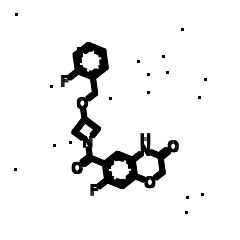 O=C1COc2cc(F)c(C(=O)N3CC(OCc4ccccc4F)C3)cc2N1